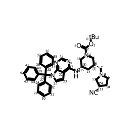 CC(C)(C)OC(=O)N1C[C@H](CN2CC[C@H](C#N)C2)C[C@H](Nc2ncnc3c2ccn3C(c2ccccc2)(c2ccccc2)c2ccccc2)C1